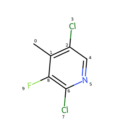 Cc1c(Cl)cnc(Cl)c1F